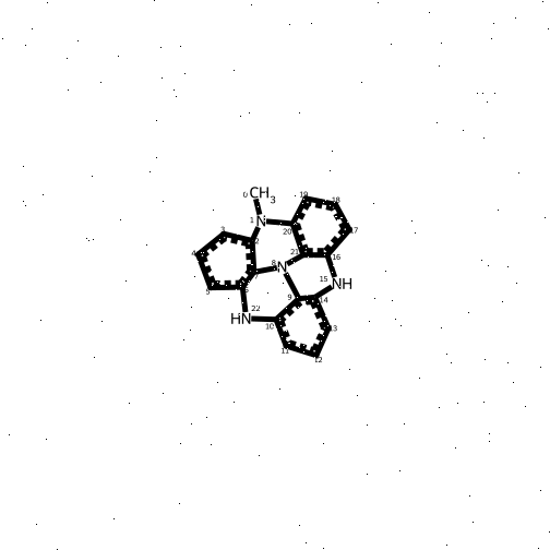 CN1c2cccc3c2N2c4c(cccc4Nc4cccc1c42)N3